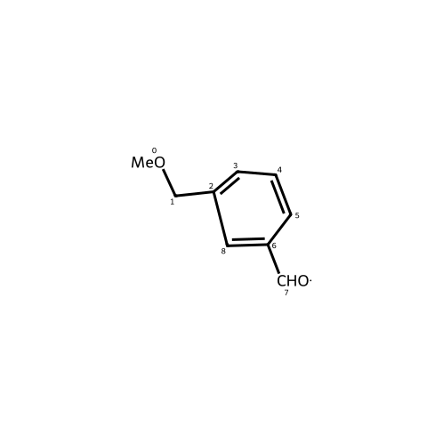 COCc1cccc([C]=O)c1